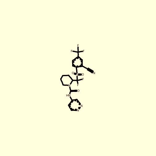 N#Cc1cc(C(F)(F)F)ccc1S(=O)(=O)C(F)(F)C1CCCCN1C(=O)Nc1ccnnc1